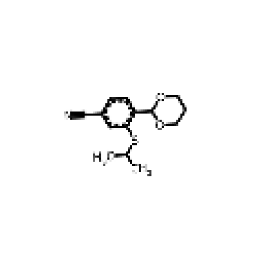 CC(C)Sc1cc(C#N)ccc1C1OCCCO1